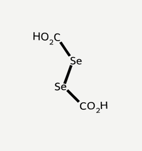 O=C(O)[Se][Se]C(=O)O